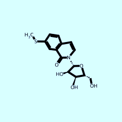 CSc1ccc2ccn([C@@H]3O[C@H](CO)[C@@H](O)[C@H]3O)c(=O)c2c1